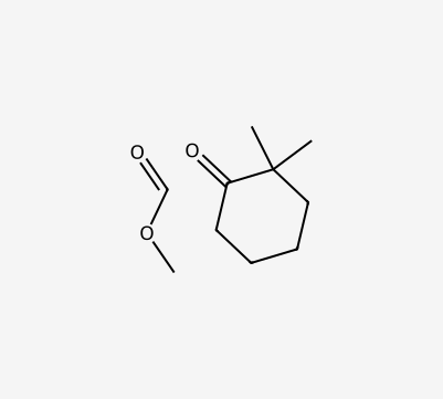 CC1(C)CCCCC1=O.COC=O